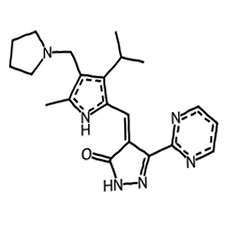 Cc1[nH]c(C=C2C(=O)NN=C2c2ncccn2)c(C(C)C)c1CN1CCCC1